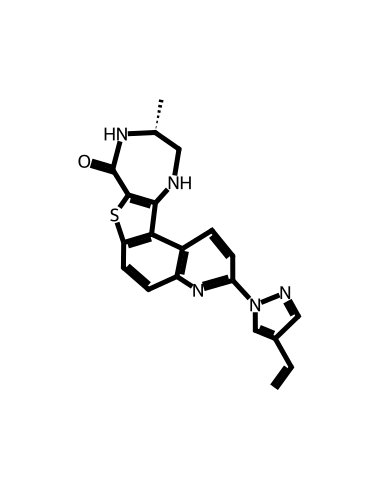 C=Cc1cnn(-c2ccc3c(ccc4sc5c(c43)NC[C@@H](C)NC5=O)n2)c1